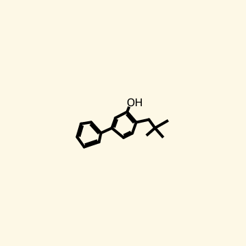 CC(C)(C)Cc1ccc(-c2ccccc2)cc1O